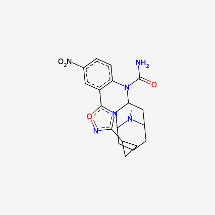 CN1C2CCCC1CC(N(C(N)=O)c1ccc([N+](=O)[O-])cc1-c1nc(C3CC3)no1)C2